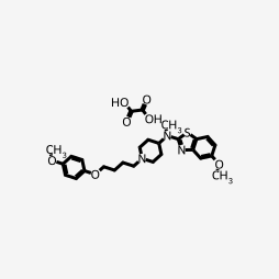 COc1ccc(OCCCCN2CCC(N(C)c3nc4cc(OC)ccc4s3)CC2)cc1.O=C(O)C(=O)O